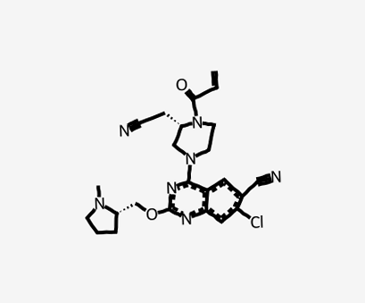 C=CC(=O)N1CCN(c2nc(OC[C@@H]3CCCN3C)nc3cc(Cl)c(C#N)cc23)C[C@@H]1CC#N